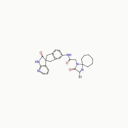 CCC1=NC2(CCCCCC2)N(CC(=O)Nc2ccc3c(c2)CC2(C3)C(=O)Nc3ncccc32)C1=O